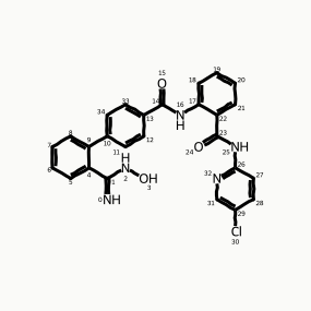 N=C(NO)c1ccccc1-c1ccc(C(=O)Nc2ccccc2C(=O)Nc2ccc(Cl)cn2)cc1